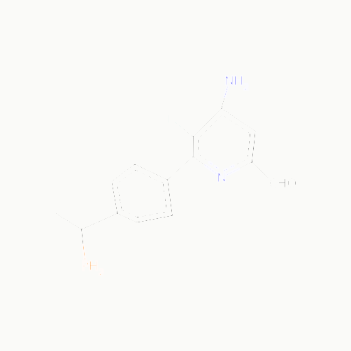 CC(P)c1ccc(-c2nc(C=O)cc(N)c2F)cc1